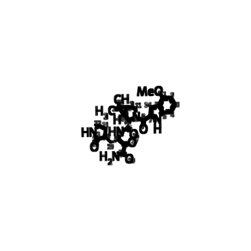 COc1cccc2[nH]c(C(=O)N3CC4[C@@H]([C@H]3C(=O)N[C@@H](C[C@@H]3CCNC3=O)C(=O)C(N)=O)C4(C)C)cc12